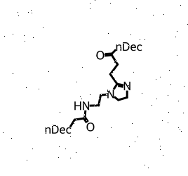 CCCCCCCCCCCC(=O)NCCN1CCN=C1CCC(=O)CCCCCCCCCC